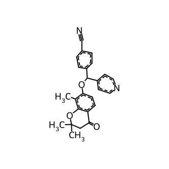 Cc1c(OC(c2ccncc2)c2ccc(C#N)cc2)ccc2c1OC(C)(C)CC2=O